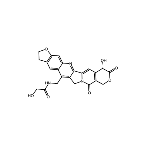 O=C(CO)NCc1c2c(nc3cc4c(cc13)CCO4)-c1cc3c(c(=O)n1C2)COC(=O)[C@H]3O